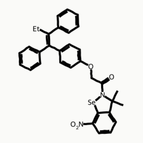 CCC(=C(c1ccccc1)c1ccc(OCC(=O)N2[Se]c3c([N+](=O)[O-])cccc3C2(C)C)cc1)c1ccccc1